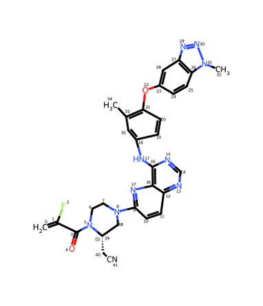 C=C(F)C(=O)N1CCN(c2ccc3ncnc(Nc4ccc(Oc5ccc6c(c5)nnn6C)c(C)c4)c3n2)C[C@@H]1CC#N